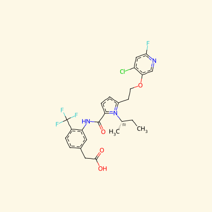 CC[C@H](C)n1c(CCOc2cnc(F)cc2Cl)ccc1C(=O)Nc1cc(CC(=O)O)ccc1C(F)(F)F